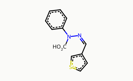 O=C(O)N(/N=C\c1ccsc1)c1ccccc1